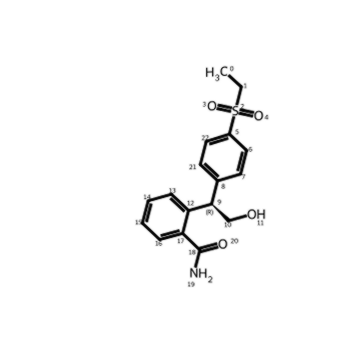 CCS(=O)(=O)c1ccc([C@@H](CO)c2ccccc2C(N)=O)cc1